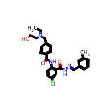 CCN(CCO)Cc1ccc(C(=O)Nc2ccc(Cl)cc2C(=O)N/N=C/c2cccc(C)c2)cc1